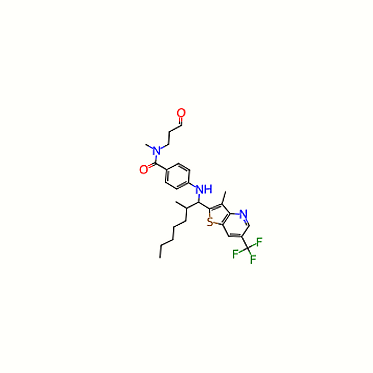 CCCCCC(C)C(Nc1ccc(C(=O)N(C)CCC=O)cc1)c1sc2cc(C(F)(F)F)cnc2c1C